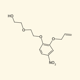 C=CCOc1cc([N+](=O)[O-])ccc1OCCOCCO